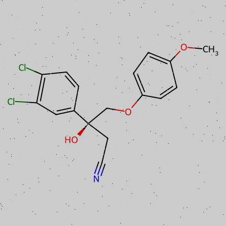 COc1ccc(OC[C@](O)(CC#N)c2ccc(Cl)c(Cl)c2)cc1